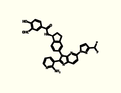 Nc1ncccc1-c1nc2ccc(-n3ccc(C(F)F)n3)nc2n1-c1ccc2c(c1)CC[C@@H]2NC(=O)c1ccc(O)c(C=O)c1